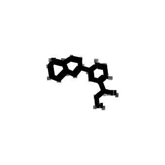 NCC(N)c1cc(-c2ccc3ncccc3c2)ncn1